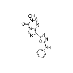 Cn1nnc2c(-c3nnc(Nc4ccccc4)o3)ncn2c1=O